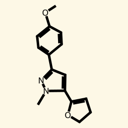 COc1ccc(-c2cc(C3=CCCO3)n(C)n2)cc1